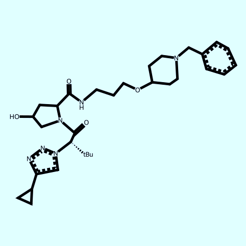 CC(C)(C)[C@@H](C(=O)N1CC(O)CC1C(=O)NCCCOC1CCN(Cc2ccccc2)CC1)n1cc(C2CC2)nn1